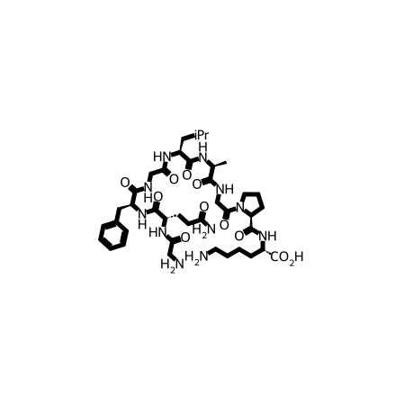 CC(C)C[C@H](NC(=O)CNC(=O)[C@H](Cc1ccccc1)NC(=O)[C@H](CCC(N)=O)NC(=O)CN)C(=O)N[C@@H](C)C(=O)NCC(=O)N1CCC[C@H]1C(=O)N[C@@H](CCCCN)C(=O)O